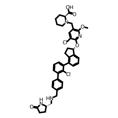 COc1nc(O[C@H]2CCc3c(-c4cccc(-c5ccc(CNC[C@@H]6CCC(=O)N6)cc5)c4Cl)cccc32)c(Cl)cc1CN1CCCC[C@H]1C(=O)O